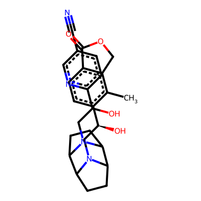 Cc1c([C@@H](O)CN2C3CCC2C2CCC3N2CC(O)c2ccc(C#N)cn2)ccc2c1COC2=O